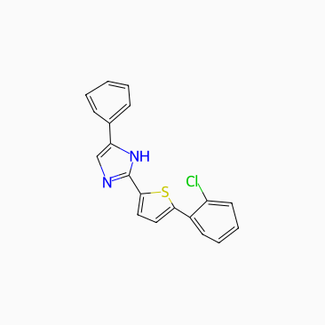 Clc1ccccc1-c1ccc(-c2ncc(-c3ccccc3)[nH]2)s1